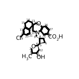 C[C@@H]1CO[C@@H]([C@@H]2CC[C@H]2CN2CC3(CCCc4cc(Cl)ccc43)COc3ccc(C(=O)O)cc32)C[C@H]1O